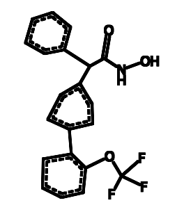 O=C(NO)C(c1ccccc1)c1ccc(-c2ccccc2OC(F)(F)F)cc1